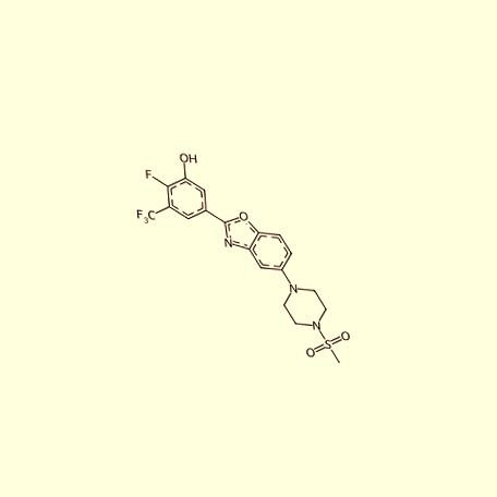 CS(=O)(=O)N1CCN(c2ccc3oc(-c4cc(O)c(F)c(C(F)(F)F)c4)nc3c2)CC1